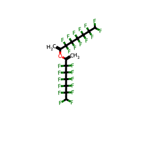 C=C(OC(=C)C(F)(F)C(F)(F)C(F)(F)C(F)(F)C(F)(F)C(F)F)C(F)(F)C(F)(F)C(F)(F)C(F)(F)C(F)(F)C(F)F